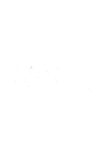 C[C@@H]1C2CC1(n1c(C(=O)N(C)C)cc3cnc(Nc4ccc(OCCN5CCCC5)c(F)c4)nc31)C2